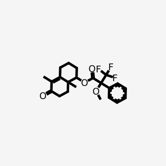 COC(C(=O)OC1CCCC2=C(C)C(=O)CCC21C)(c1ccccc1)C(F)(F)F